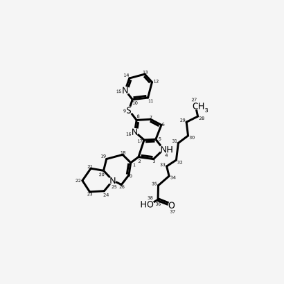 C1=C(c2c[nH]c3ccc(Sc4ccccn4)nc23)CCC2CCCCN2C1.CCCCCCCCCC(=O)O